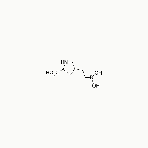 O=C(O)C1CC(CCB(O)O)CN1